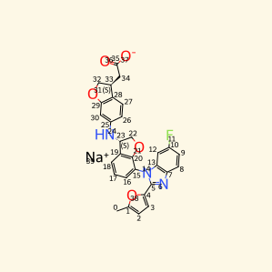 Cc1ccc(-c2nc3ccc(F)cc3n2-c2cccc3c2OC[C@H]3Nc2ccc3c(c2)OC[C@H]3CC(=O)[O-])o1.[Na+]